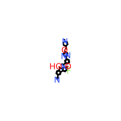 CC(c1cccc(-c2ncc(OCC3CCN(C)CC3)cn2)c1)n1c2c(cc(F)c1=O)-c1cc(C#N)ccc1C2O